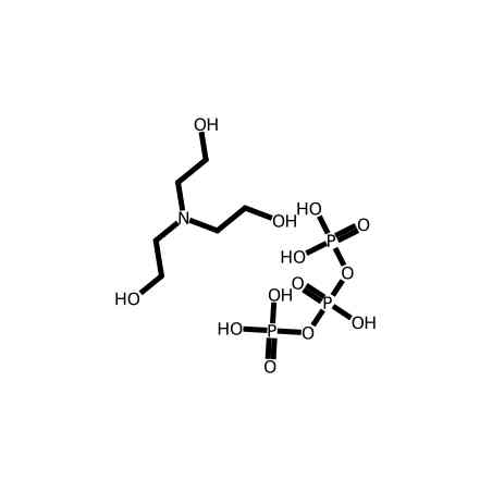 O=P(O)(O)OP(=O)(O)OP(=O)(O)O.OCCN(CCO)CCO